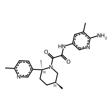 Cc1ccc([C@]2(C)CC[C@H](C)CN2C(=O)C(=O)Nc2cnc(N)c(C)c2)cn1